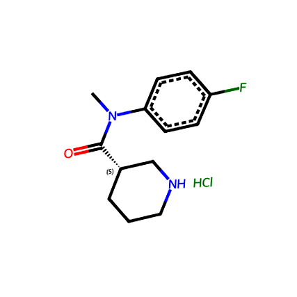 CN(C(=O)[C@H]1CCCNC1)c1ccc(F)cc1.Cl